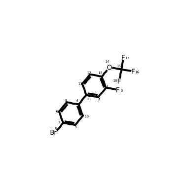 Fc1cc(-c2ccc(Br)cc2)ccc1OC(F)(F)F